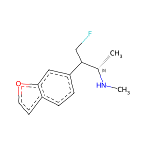 CN[C@@H](C)C(CF)c1ccc2ccoc2c1